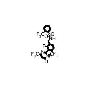 O=c1cc(C(F)(F)F)nc(-c2c(C(F)(F)F)ccc(CNS(=O)(=O)c3ccccc3C(F)(F)F)c2F)[nH]1